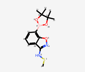 CSNc1noc2c(B3OC(C)(C)C(C)(C)O3)cccc12